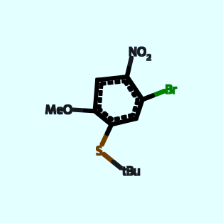 COc1cc([N+](=O)[O-])c(Br)cc1SC(C)(C)C